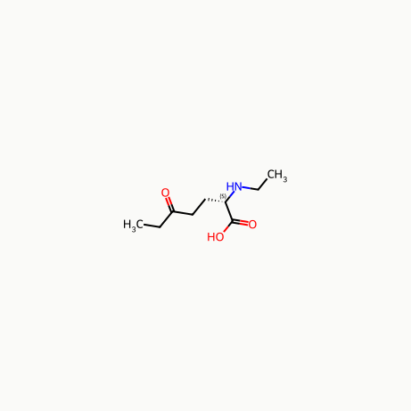 CCN[C@@H](CCC(=O)CC)C(=O)O